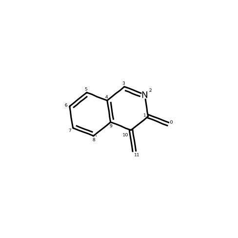 C=c1ncc2ccc[c]c2c1=C